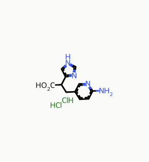 Cl.Cl.Nc1ccc(CC(C(=O)O)c2c[nH]cn2)cn1